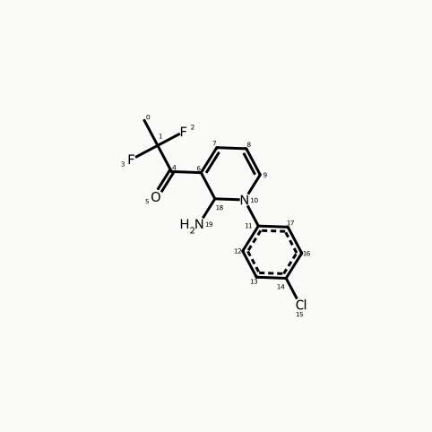 CC(F)(F)C(=O)C1=CC=CN(c2ccc(Cl)cc2)C1N